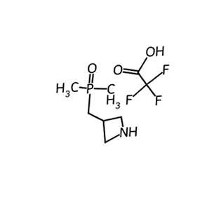 CP(C)(=O)CC1CNC1.O=C(O)C(F)(F)F